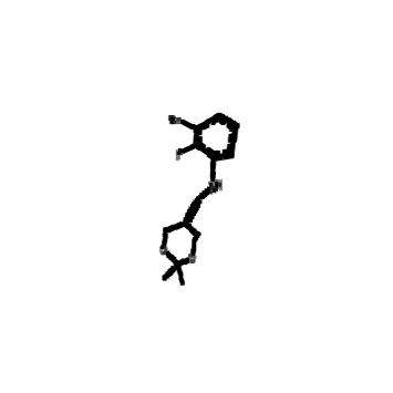 CC1(C)OCC(=CNc2cccc(Br)c2F)CO1